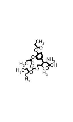 CCC(=O)Oc1ccc(C(C(C)COC(=O)OC(C)CC)[C@H](N)C(=O)O)cc1OC(=O)CC